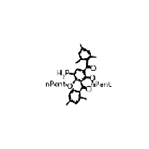 CCCCCOc1c(P)cc(C(=O)c2c(C)cc(C)cc2C)c(OCCCCC)c1C(=O)c1c(C)cc(C)cc1C